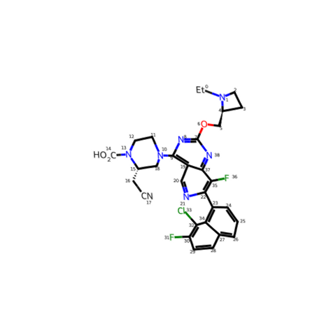 CCN1CC[C@H]1COc1nc(N2CCN(C(=O)O)[C@@H](CC#N)C2)c2cnc(-c3cccc4ccc(F)c(Cl)c34)c(F)c2n1